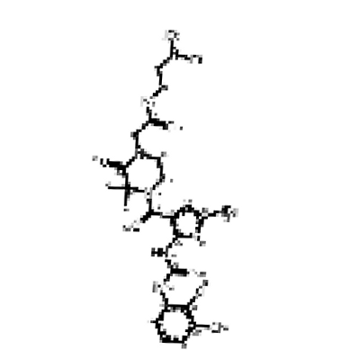 CCN(CC)CCNC(=O)CN1CCN(C(=O)c2cc(C(C)(C)C)sc2NC(=O)Nc2cccc(Cl)c2Cl)C(C)(C)C1=O